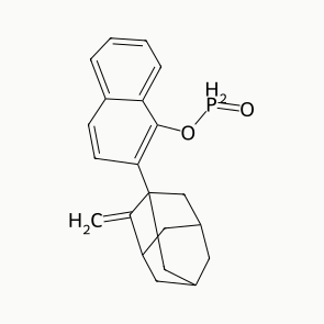 C=C1C2CC3CC(C2)CC1(c1ccc2ccccc2c1O[PH2]=O)C3